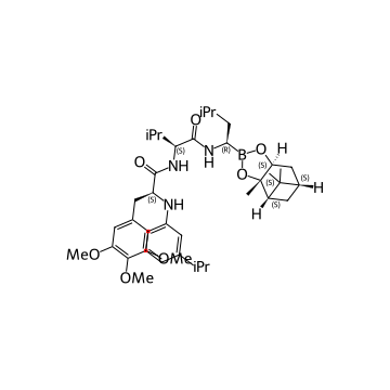 COc1cc(C[C@H](Nc2cccc(C(C)C)c2)C(=O)N[C@H](C(=O)N[C@@H](CC(C)C)B2O[C@H]3C[C@@H]4C[C@@H](C4(C)C)[C@]3(C)O2)C(C)C)cc(OC)c1OC